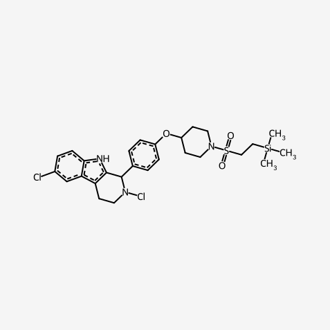 C[Si](C)(C)CCS(=O)(=O)N1CCC(Oc2ccc(C3c4[nH]c5ccc(Cl)cc5c4CCN3Cl)cc2)CC1